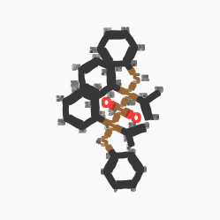 C=C(C)S(Sc1ccccc1)(c1ccccc1)S(=O)(=O)S(Sc1ccccc1)(C(=C)C)c1ccccc1